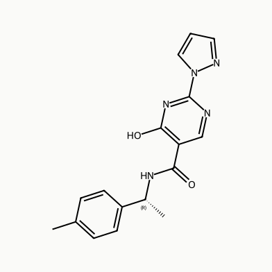 Cc1ccc([C@@H](C)NC(=O)c2cnc(-n3cccn3)nc2O)cc1